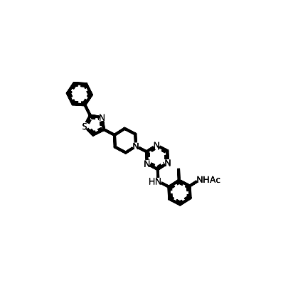 CC(=O)Nc1cccc(Nc2ncnc(N3CCC(c4csc(-c5ccccc5)n4)CC3)n2)c1C